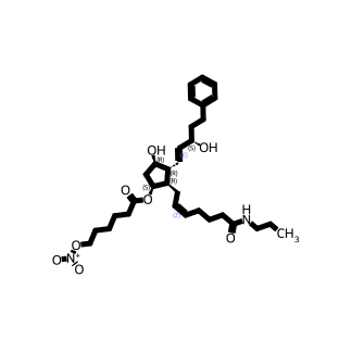 CCCNC(=O)CCC/C=C\C[C@@H]1[C@@H](/C=C/[C@@H](O)CCc2ccccc2)[C@H](O)C[C@@H]1OC(=O)CCCCCO[N+](=O)[O-]